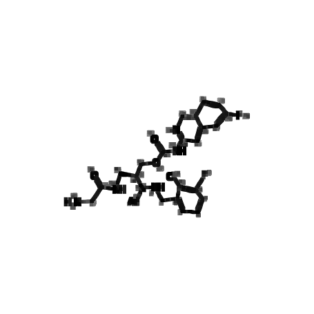 CC(=O)N(NCc1cccc(F)c1Cl)[C@@H](CNC(=O)CN)COC(=O)Nc1cc2cc(F)ccc2cn1